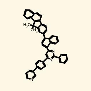 CC1(C)c2cc(-c3ccc(-c4cc(-c5ccc(-c6cccnc6)cc5)nc(-c5ccccc5)n4)c4ccccc34)ccc2-c2ccc3ccccc3c21